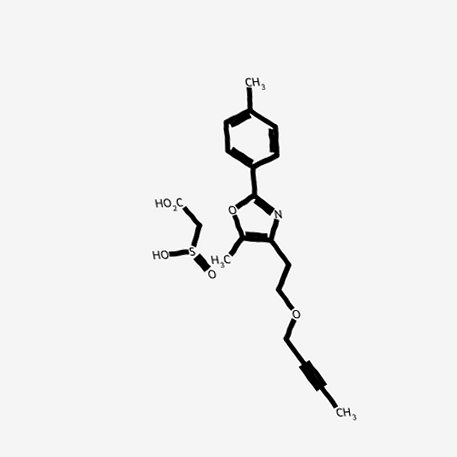 CC#CCOCCc1nc(-c2ccc(C)cc2)oc1C.O=C(O)CS(=O)O